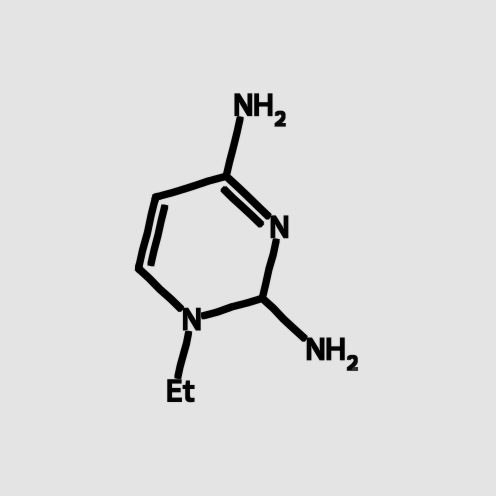 CCN1C=CC(N)=NC1N